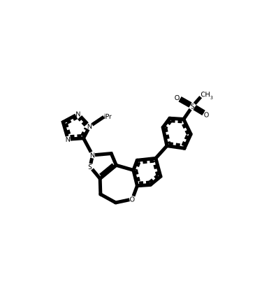 CC(C)n1ncnc1N1CC2=C(CCOc3ccc(-c4ccc(S(C)(=O)=O)cc4)cc32)S1